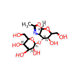 CC1=NC2[C@@H](O1)OC(CO)[C@@H](O)[C@@H]2O[C@@H]1OC(CO)[C@H](O)C(O)[C@@H]1O